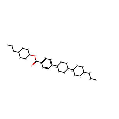 CCCC1CCC(OC(=O)c2ccc(C3CCC(C4CCC(CCC)CC4)CC3)cc2)CC1